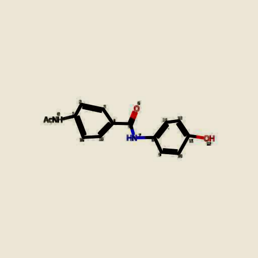 CC(=O)Nc1ccc(C(=O)Nc2ccc(O)cc2)cc1